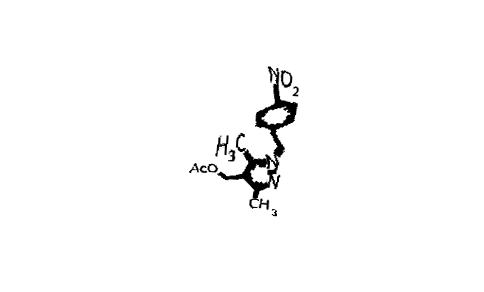 CC(=O)OCc1c(C)nn(Cc2ccc([N+](=O)[O-])cc2)c1C